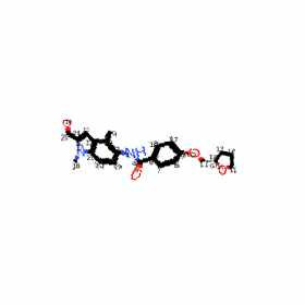 Cc1c(NC(=O)c2ccc(OC[C@@H]3CCCO3)cc2)ccc2c1cc(C=O)n2C